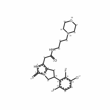 O=C(Cc1[nH]c(=S)n2c1CC(c1c(F)ccc(Cl)c1F)C2)NCCCN1CCOCC1